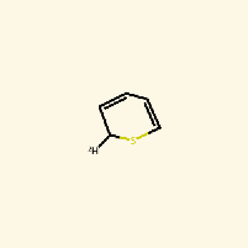 [2H]C1C=CC=CS1